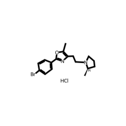 Cc1oc(-c2ccc(Br)cc2)nc1CCN1CCC[C@H]1C.Cl